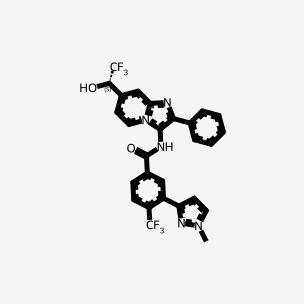 Cn1ccc(-c2cc(C(=O)Nc3c(-c4ccccc4)nc4cc([C@H](O)C(F)(F)F)ccn34)ccc2C(F)(F)F)n1